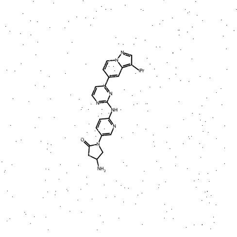 CC(C)c1cnn2ccc(-c3ccnc(Nc4ccc(N5CC(N)CC5=O)cn4)n3)cc12